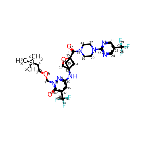 C[Si](C)(C)CCOCn1nc(NC23COC(C(=O)N4CCN(c5ncc(C(F)(F)F)cn5)CC4)(C2)C3)cc(C(F)(F)F)c1=O